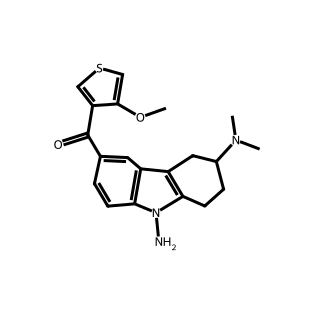 COc1cscc1C(=O)c1ccc2c(c1)c1c(n2N)CCC(N(C)C)C1